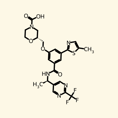 Cc1cnc(-c2cc(OC[C@H]3CN(C(=O)O)CCO3)cc(C(=O)N[C@H](C)c3cnc(C(F)(F)F)nc3)c2)s1